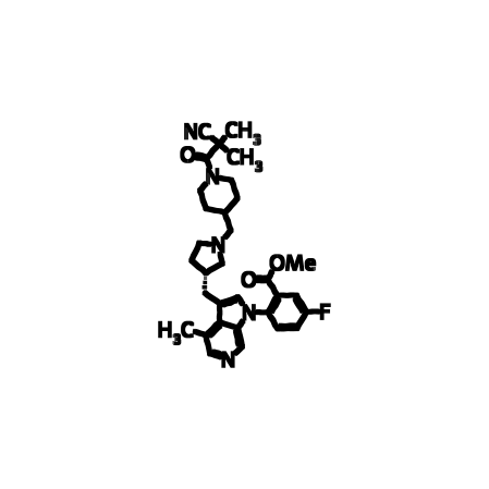 COC(=O)c1cc(F)ccc1-n1cc(C[C@@H]2CCN(CC3CCN(C(=O)C(C)(C)C#N)CC3)C2)c2c(C)cncc21